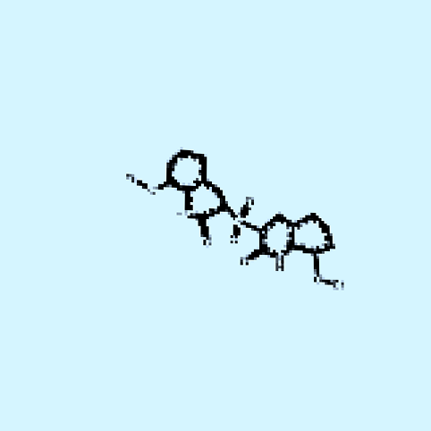 CCOc1cccc2cc(S(=O)(=O)c3cc4cccc(OCC)c4[nH]c3=O)c(=O)[nH]c12